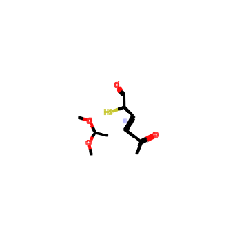 CC(=O)/C=C/C(S)C=O.COC(C)OC